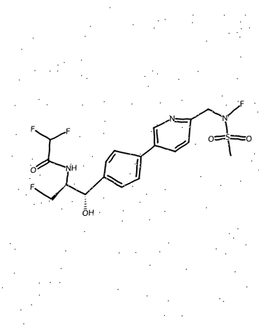 CS(=O)(=O)N(F)Cc1ccc(-c2ccc([C@H](O)[C@@H](CF)NC(=O)C(F)F)cc2)cn1